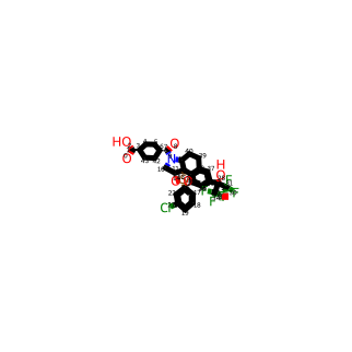 O=C(O)[C@H]1CC[C@H](C(=O)N2CCC3(S(=O)(=O)c4cccc(Cl)c4)c4ccc(C(O)(C(F)(F)F)C(F)(F)F)cc4CCC23)CC1